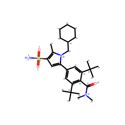 Cc1c(S(N)(=O)=O)cc(-c2cc(C(C)(C)C)c(C(=O)N(C)C)c(C(C)(C)C)c2)n1CC1CCCCC1